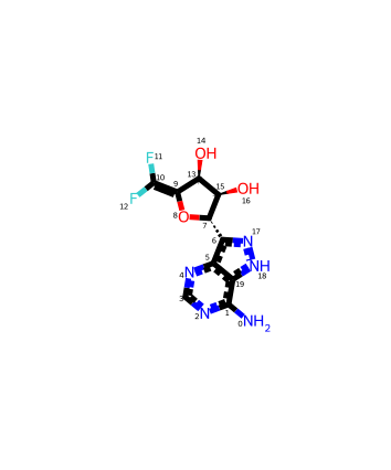 Nc1ncnc2c([C@@H]3OC(=C(F)F)[C@@H](O)[C@H]3O)n[nH]c12